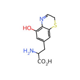 NC(Cc1cc(O)c2c(c1)SCC=N2)C(=O)O